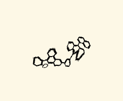 c1cc(-c2ccc3c(c2)c2ccccc2c2c4ccccc4oc32)cc(-c2c3ccccc3c(-c3cccc4ccccc34)c3ccccc23)c1